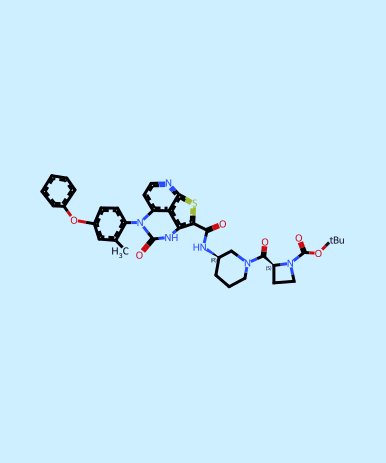 Cc1cc(Oc2ccccc2)ccc1N1C(=O)Nc2c(C(=O)N[C@@H]3CCCN(C(=O)[C@@H]4CCN4C(=O)OC(C)(C)C)C3)sc3nccc1c23